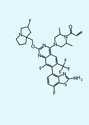 C=CC(=O)N1C(C)CN(c2nc(OCC34CCCN3CC(F)C4)nc3c(F)c(-c4ccc(F)c5sc(N)nc45)c(C(F)(F)F)cc23)CC1C